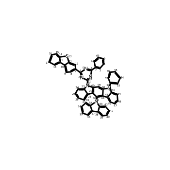 c1ccc(-c2nc(-c3ccc4c(c3)sc3ccccc34)nc(-n3c4ccccc4c4c(-n5c6ccccc6c6ccccc65)c5c6ccccc6n(-c6ccccc6)c5cc43)n2)cc1